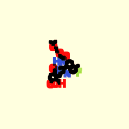 CC[C@@]1(O)C(=O)CCc2c1cc1n(c2=O)Cc2c-1nc1cc(F)c(C)c3c1c2[C@@H](NC(=O)COCCOC(C)C)CC3